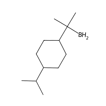 BC(C)(C)C1CCC(C(C)C)CC1